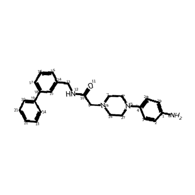 Nc1ccc(N2CCN(CC(=O)NCc3cccc(-c4ccccc4)c3)CC2)cc1